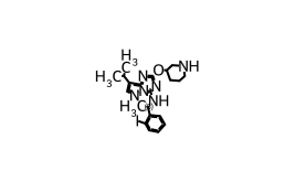 CC(C)c1cnn2c(N[C@@H](C)c3ccccc3I)nc(OC3CCCNC3)nc12